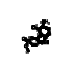 Bc1ccc2[nH]cc(OP(=O)(O)OC)c2c1Cl